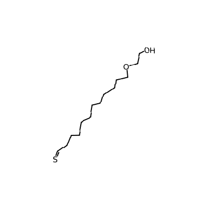 OCCOCCCCCCCCCCCC=S